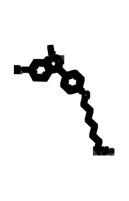 CNCCCCCCOc1ccc(-c2nn(C)c3cc(Br)ccc23)cc1